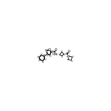 O=C(N[C@H]1C[C@H](C(=O)N2CCC2)C1)c1cc(-c2ccccc2)no1